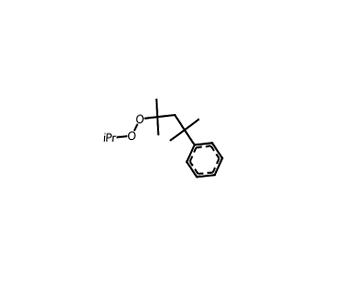 CC(C)OOC(C)(C)CC(C)(C)c1ccccc1